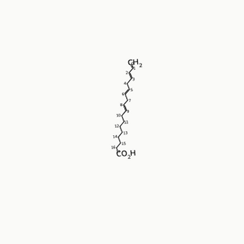 C=CC=CCC=CCC=CCCCCCCCC(=O)O